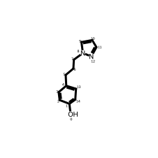 Oc1ccc(CCCn2cccn2)cc1